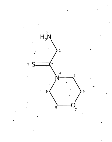 NCC(=S)N1CCOCC1